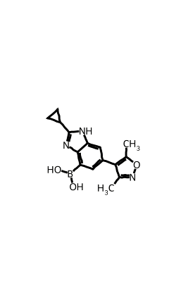 Cc1noc(C)c1-c1cc(B(O)O)c2nc(C3CC3)[nH]c2c1